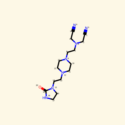 N#CCN(CC#N)CCN1CCN(CCN2CCNC2=O)CC1